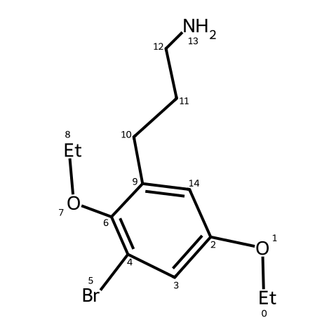 CCOc1cc(Br)c(OCC)c(CCCN)c1